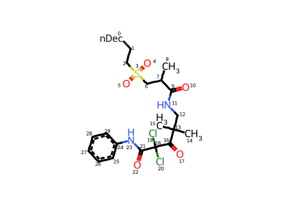 CCCCCCCCCCCCS(=O)(=O)CC(C)C(=O)NCC(C)(C)C(=O)C(Cl)(Cl)C(=O)Nc1ccccc1